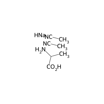 CC#N.CC#N.CC(N)C(=O)O.[NaH]